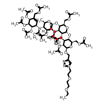 CCOCCOCCn1cc(CO[C@@H]2O[C@H](COC(C)=O)[C@@H](O[C@H]3O[C@H](COC(C)=O)[C@@H](O[C@H]4O[C@H](C)[C@@H](N(C(C)=O)[C@H]5C=C(COC(C)=O)[C@@H](OC(C)=O)[C@H](OC(C)=O)[C@H]5OC(C)=O)[C@H](OC(C)=O)[C@H]4OC(C)=O)[C@H](OC(C)=O)[C@H]3OC(C)=O)[C@H](OC(C)=O)[C@H]2OC(C)=O)nn1